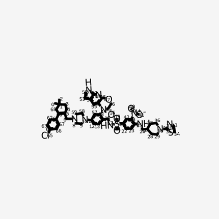 CC1(C)CCC(CN2CCN(c3ccc(C(=O)NS(=O)(=O)c4ccc(NCC5CCN(c6nccs6)CC5)c([N+](=O)[O-])c4)c(N4CCOc5nc6[nH]ccc6cc54)c3)CC2)=C(c2ccc(Cl)cc2)C1